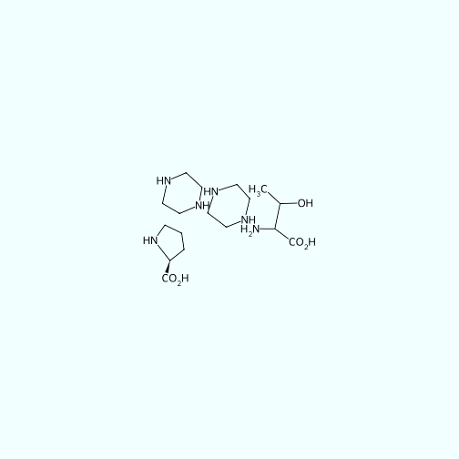 C1CNCCN1.C1CNCCN1.CC(O)C(N)C(=O)O.O=C(O)[C@@H]1CCCN1